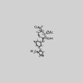 CC(=O)O[C@@H]1[C@@H](OC(C)=O)[C@@H](Oc2cncc(-c3cncn3C)c2)SC[C@H]1OC(C)=O